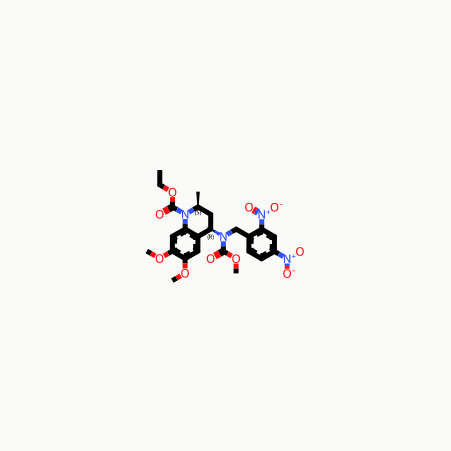 CCOC(=O)N1c2cc(OC)c(OC)cc2[C@H](N(Cc2ccc([N+](=O)[O-])cc2[N+](=O)[O-])C(=O)OC)C[C@@H]1C